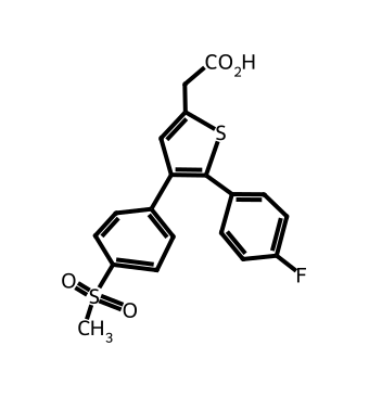 CS(=O)(=O)c1ccc(-c2cc(CC(=O)O)sc2-c2ccc(F)cc2)cc1